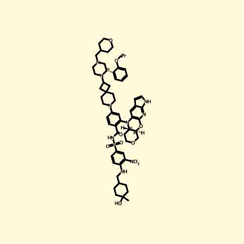 CC(C)Oc1ccccc1[C@H]1CN(CC2CCOCC2)CCN1C1CC2(CCN(c3ccc(C(=O)NS(=O)(=O)c4ccc(NCC5CCC(C)(O)CC5)c([N+](=O)[O-])c4)c(N4c5cc6cc[nH]c6nc5O[C@H]5COCC[C@@H]54)c3)CC2)C1